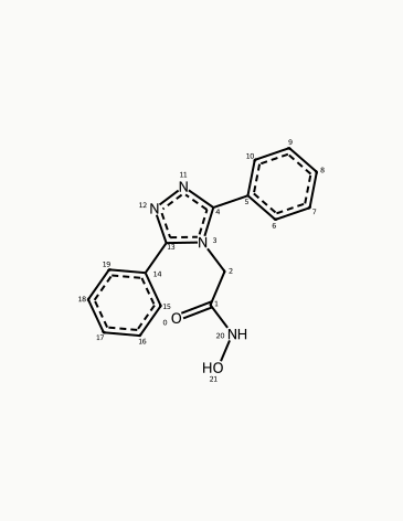 O=C(Cn1c(-c2ccccc2)nnc1-c1ccccc1)NO